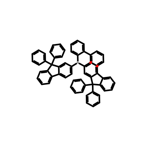 c1ccc(-c2ccccc2N(c2ccc3c(c2)C(c2ccccc2)(c2ccccc2)c2ccccc2-3)c2ccc3c(c2)C(c2ccccc2)(c2ccccc2)c2ccccc2-3)cc1